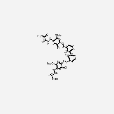 COc1nc(OCc2cccc(-c3cccc(COc4nc(OC)c(CNC(C)C(N)=O)cc4Cl)c3C)c2C)c(Cl)cc1CNC(C)C=O